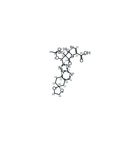 CC(=O)OC(c1nc2ncc3c(n2n1)CCC1(C3)OCCO1)C1(Br)C(=O)N2C(C(=O)O)=CS[C@@H]21